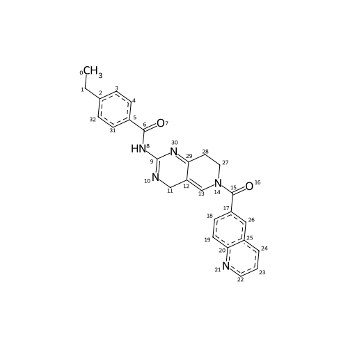 CCc1ccc(C(=O)NC2=NCC3=CN(C(=O)c4ccc5ncccc5c4)CCC3=N2)cc1